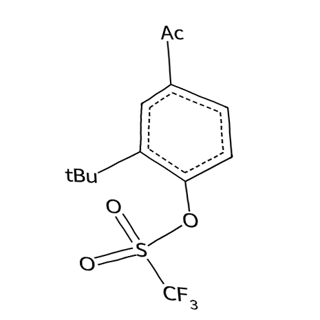 CC(=O)c1ccc(OS(=O)(=O)C(F)(F)F)c(C(C)(C)C)c1